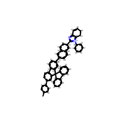 Cc1ccc(-c2ccc3c(c2)C2(c4ccccc4-c4ccccc42)c2cc(-c4ccc5cc(-c6nc7c(n6-c6ccccc6)CCC=C7)ccc5c4)ccc2-3)cc1